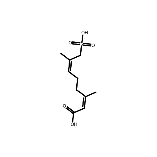 CC(=CCC/C(C)=C\C(=O)O)CS(=O)(=O)O